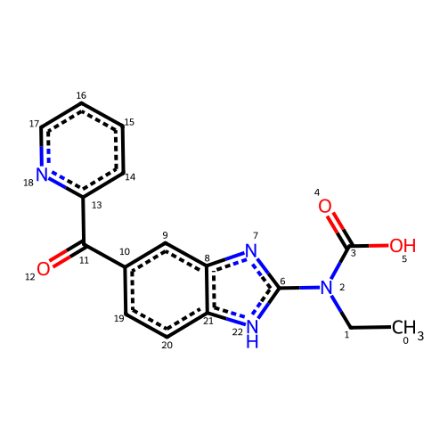 CCN(C(=O)O)c1nc2cc(C(=O)c3ccccn3)ccc2[nH]1